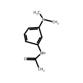 CC(=O)Nc1[c]ccc(N(C)C)c1